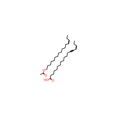 CC/C=C\C#CCCCCCCCCCCCC(=O)O.CC/C=C\CCCCCCCCCCCCOC(C)=O